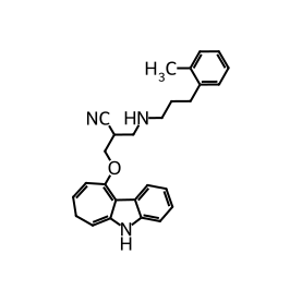 Cc1ccccc1CCCNCC(C#N)COC1=c2c([nH]c3ccccc23)=CCC=C1